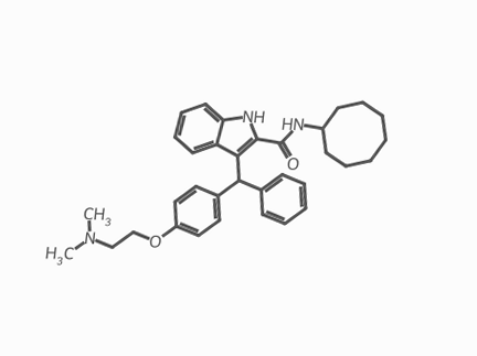 CN(C)CCOc1ccc(C(c2ccccc2)c2c(C(=O)NC3CCCCCCC3)[nH]c3ccccc23)cc1